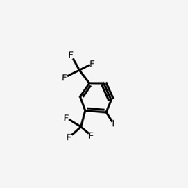 FC(F)(F)c1c#cc(I)c(C(F)(F)F)c1